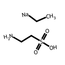 C[CH2][Na].NCCS(=O)(=O)O